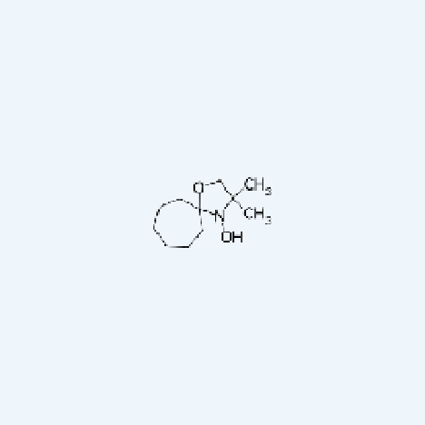 CC1(C)COC2(CCCCCC2)N1O